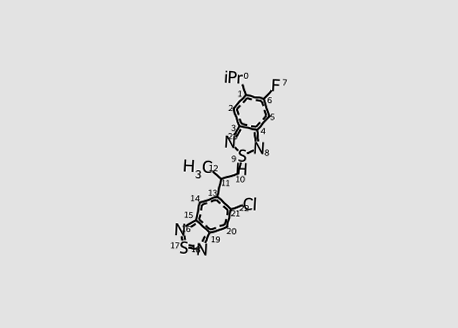 CC(C)c1cc2c(cc1F)=N[SH](CC(C)c1cc3nsnc3cc1Cl)N=2